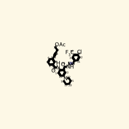 CC(=O)OCCC#Cc1cccc(C(=O)Nc2ccc(N3CCCCC3)cc2C(=O)N/N=C/c2ccc(Cl)c(C(F)(F)F)c2)c1